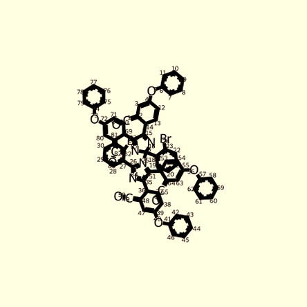 O=C=C1C=C(Oc2ccccc2)C=CC1C1=NC(c2ccccc2Br)(n2c(-c3ccccc3Br)nc(C3C=CC(Oc4ccccc4)=CC3=C=O)c2C2C=CC(Oc3ccccc3)=CC2=C=O)N=C1C1C=CC(Oc2ccccc2)=CC1=C=O